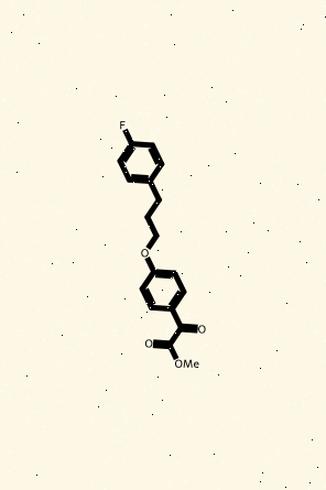 COC(=O)C(=O)c1ccc(OCCCc2ccc(F)cc2)cc1